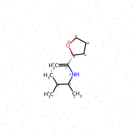 C=C(NC(C)C(C)C)[C@H]1CCCO1